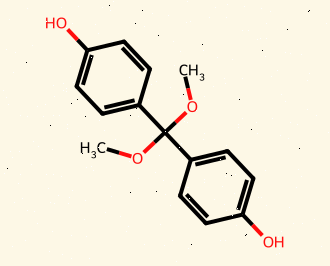 COC(OC)(c1ccc(O)cc1)c1ccc(O)cc1